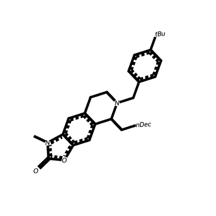 CCCCCCCCCCCC1c2cc3oc(=O)n(C)c3cc2CCN1Cc1ccc(C(C)(C)C)cc1